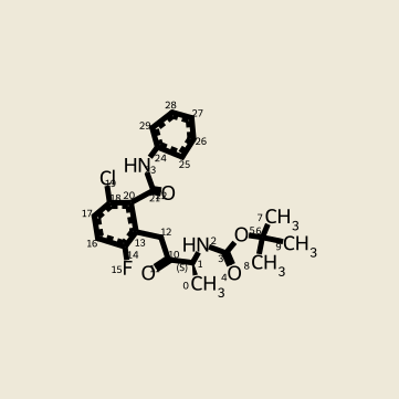 C[C@H](NC(=O)OC(C)(C)C)C(=O)Cc1c(F)ccc(Cl)c1C(=O)Nc1ccccc1